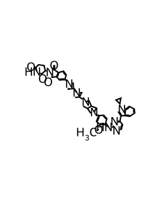 COc1cc(N2CC3CN(C4CN(C5CN(c6ccc7c(c6)C(=O)N(C6CCC(=O)NC6=O)C7=O)C5)C4)CC3C2)ccc1Nc1nccc(-c2cn(C3CC3)c3ccccc23)n1